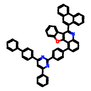 c1ccc(-c2ccc(-c3cc(-c4ccccc4)nc(-c4ccc(-c5cccc6nc(-c7cc8ccccc8c8ccccc78)c7c8ccccc8oc7c56)cc4)n3)cc2)cc1